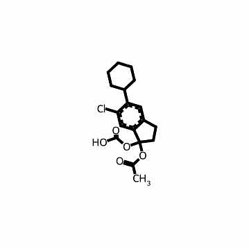 CC(=O)OC1(OC(=O)O)CCc2cc(C3CCCCC3)c(Cl)cc21